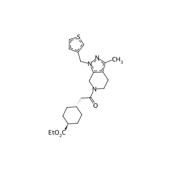 CCOC(=O)[C@H]1CC[C@H](CC(=O)N2CCc3c(C)nn(Cc4ccsc4)c3C2)CC1